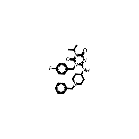 CC(C)n1c(=O)nc(NC2CCN(Cc3ccccc3)CC2)n(Cc2ccc(F)cc2)c1=O